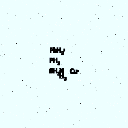 B.N.P.[Cu].[PbH2]